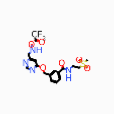 CS(=O)(=O)CCNC(=O)c1cccc(COc2cc(CNOC(=O)C(F)(F)F)ncn2)c1